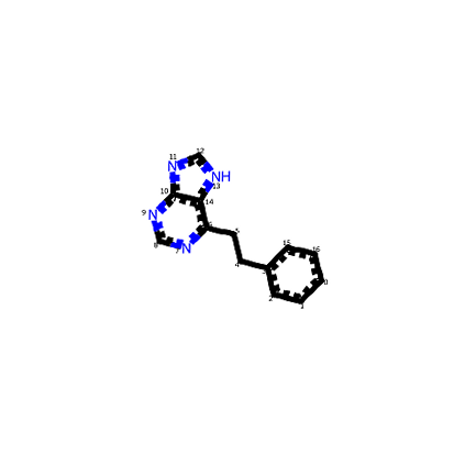 c1ccc(CCc2ncnc3nc[nH]c23)cc1